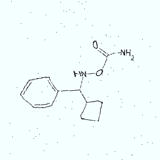 NC(=O)ONC(c1ccccc1)C1CCC1